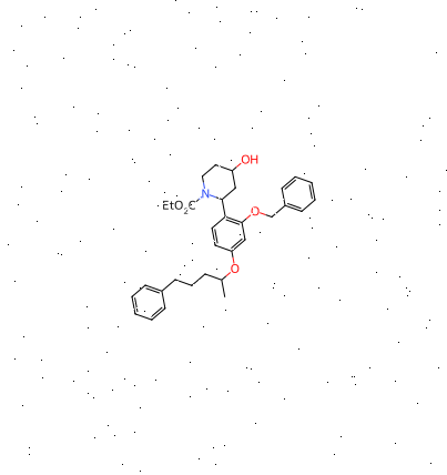 CCOC(=O)N1CCC(O)CC1c1ccc(OC(C)CCCc2ccccc2)cc1OCc1ccccc1